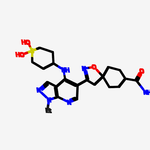 CCn1ncc2c(NC3CCS(O)(O)CC3)c(C3=NOC4(CCC(C(N)=O)CC4)C3)cnc21